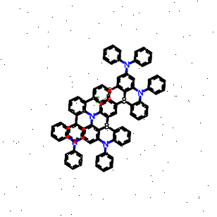 Fc1c2c(cc3c1N(c1c(-c4ccccc4)cccc1-c1ccccc1)c1cc(N(c4ccccc4)c4ccccc4)cc4c1B3c1ccccc1N4c1ccccc1)B1c3ccccc3N(c3ccccc3)c3cc(N(c4ccccc4)c4ccccc4)cc(c31)S2